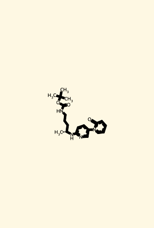 C[C@H](CCCNC(=O)OC(C)(C)C)Nc1ccc(-n2ccccc2=O)cn1